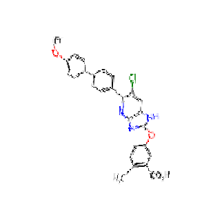 Cc1ccc(Oc2nc3nc(-c4ccc(-c5ccc(OC(C)C)cc5)cc4)c(Cl)cc3[nH]2)cc1C(=O)O